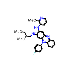 COCC(C/N=c1\cc2n(-c3ccc(F)cc3)c3ccccc3nc-2cc1Nc1cccnc1OC)OC